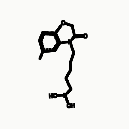 Cc1ccc2c(c1)N(CCCCCB(O)O)C(=O)CO2